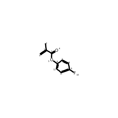 C=C(C)C(=O)Oc1ccc(F)cc1